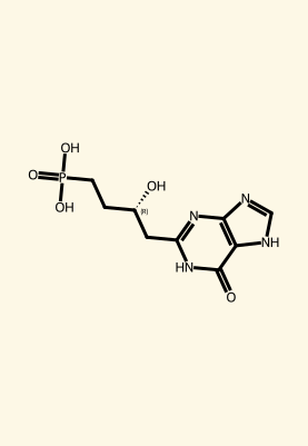 O=c1[nH]c(C[C@@H](O)CCP(=O)(O)O)nc2nc[nH]c12